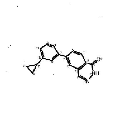 O=c1[nH]ncc2cc(-c3cccc(C4CC4)c3)ccc12